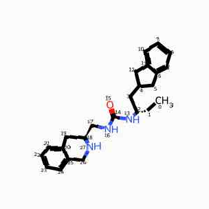 CC[C@@H](CC1Cc2ccccc2C1)NC(=O)NC[C@@H]1Cc2ccccc2CN1